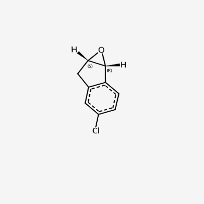 Clc1ccc2c(c1)C[C@@H]1O[C@H]21